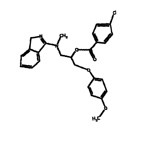 COc1ccc(OCC(CN(C)C2=NCc3ccccc32)OC(=O)c2ccc(Cl)cc2)cc1